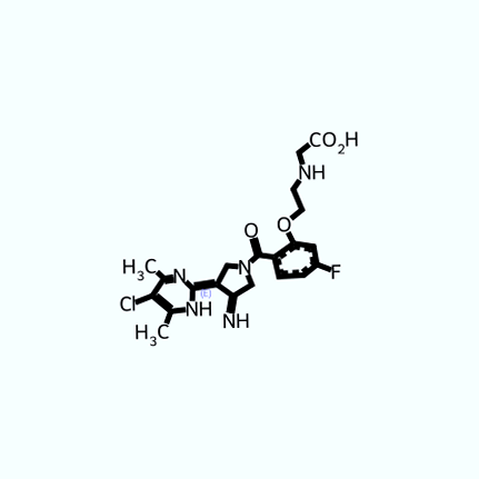 CC1=N/C(=C2\CN(C(=O)c3ccc(F)cc3OCCNCC(=O)O)CC2=N)NC(C)=C1Cl